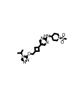 CC(C)n1cnnc1OCC1CC(c2cnc(NC3CCN(S(C)(=O)=O)CC3)nc2)C1